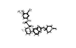 CCc1cc(NC(=O)C(=O)N2C[C@@H](C)CC[C@@H]2c2ccc3sc(CC4(C)CCN(C)CC4)nc3c2)cnc1N